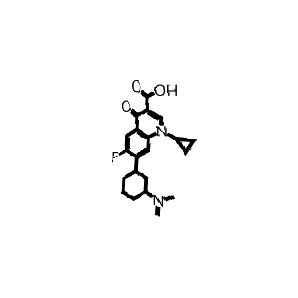 CN(C)C1CCCC(c2cc3c(cc2F)c(=O)c(C(=O)O)cn3C2CC2)C1